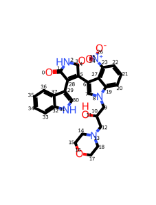 O=C1NC(=O)C(c2cn(CC(O)CN3CCOCC3)c3cccc([N+](=O)[O-])c23)=C1c1c[nH]c2ccccc12